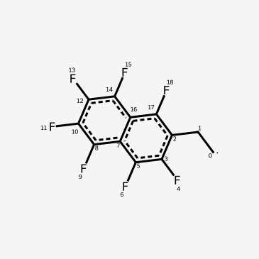 [CH2]Cc1c(F)c(F)c2c(F)c(F)c(F)c(F)c2c1F